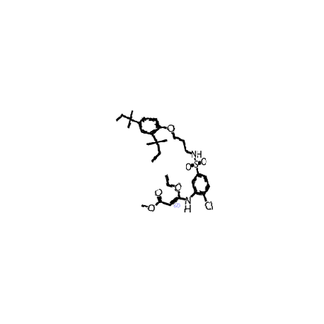 CCO/C(=C\C(=O)OC)Nc1cc(S(=O)(=O)NCCCOc2ccc(C(C)(C)CC)cc2C(C)(C)CC)ccc1Cl